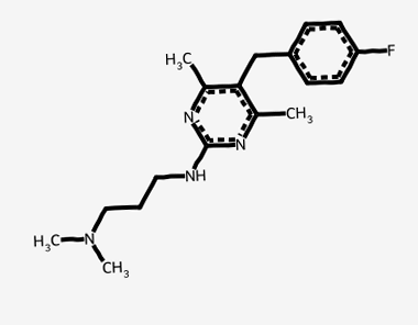 Cc1nc(NCCCN(C)C)nc(C)c1Cc1ccc(F)cc1